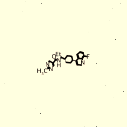 CC[C@H](NC(=O)c1cnc(C)nc1)[C@H]1CC[C@H](c2ccnc3c(F)cccc32)CC1